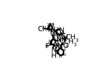 CC(C)(C)OC(=O)N[C@H]1CCCC[C@H]1Nc1nc(Nc2cncc(-n3cc(Cl)cn3)c2)c(C#N)cc1F